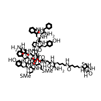 CSCC[C@H](NC(=O)[C@H](C)NC(=O)[C@H](Cc1c[nH]c2ccccc12)NC(=O)[C@@H]1CCCN1C(=O)[C@H](Cc1ccc(O)cc1)NC(=O)[C@H](Cc1c[nH]c2ccccc12)NC(=O)[C@@H](N)Cc1ccccc1)C(=O)N[C@@H](CCSC)C(=O)N[C@@H](Cc1ccc(O)cc1)C(=O)N[C@@H](CCCCN)C(=O)NCC(=O)NCC(=O)NCC(=O)N[C@@H](CCCCNC(=O)CCCC[C@@H]1SC[C@@H]2NC(=O)N[C@@H]21)C(N)=O